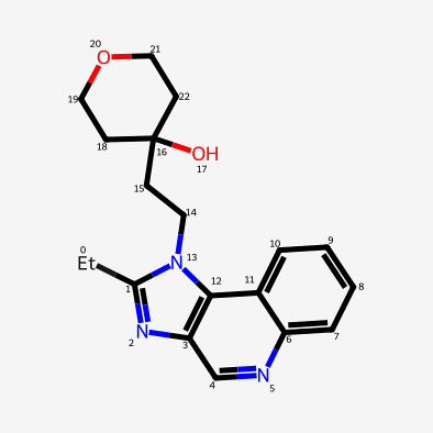 CCc1nc2cnc3ccccc3c2n1CCC1(O)CCOCC1